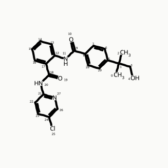 CC(C)(CO)c1ccc(C(=O)Nc2ccccc2C(=O)Nc2ccc(Cl)cn2)cc1